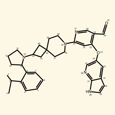 CC(C)c1ccccc1C1CCCN1C1CC2(CCN(c3cc(Oc4cnc5[nH]ccc5c4)c(C=O)cn3)CC2)C1